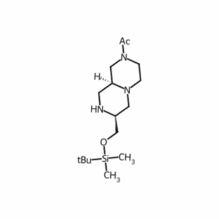 CC(=O)N1CCN2C[C@@H](CO[Si](C)(C)C(C)(C)C)NC[C@H]2C1